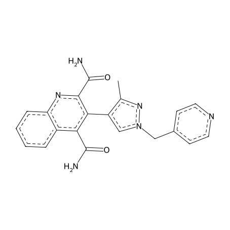 Cc1nn(Cc2ccncc2)cc1-c1c(C(N)=O)nc2ccccc2c1C(N)=O